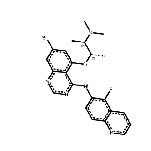 C[C@H](Oc1cc(Br)cc2ncnc(Nc3ccc4ncccc4c3F)c12)[C@@H](C)N(C)C